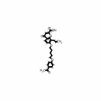 C=CCc1c(OCCCCCOc2ccc(C(C)=O)cc2)ccc2c(=O)cc(C(=O)O)oc12